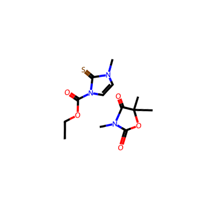 CCOC(=O)n1ccn(C)c1=S.CN1C(=O)OC(C)(C)C1=O